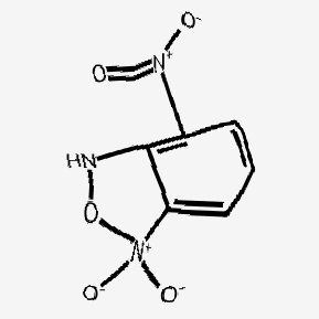 O=[N+]([O-])c1cccc2c1NO[N+]2([O-])[O-]